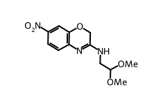 COC(CNC1=Nc2ccc([N+](=O)[O-])cc2OC1)OC